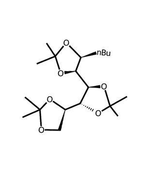 CCCC[C@@H]1OC(C)(C)O[C@@H]1[C@H]1OC(C)(C)O[C@@H]1[C@H]1COC(C)(C)O1